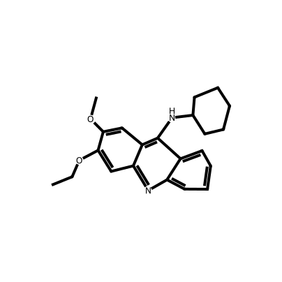 CCOc1cc2nc3ccccc3c(NC3CCCCC3)c2cc1OC